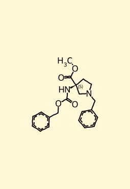 COC(=O)[C@]1(NC(=O)OCc2ccccc2)CCN(Cc2ccccc2)C1